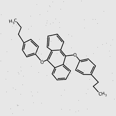 CCCc1ccc(Oc2c3ccccc3c(Oc3ccc(CCC)cc3)c3ccccc23)cc1